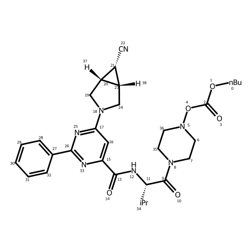 CCCCOC(=O)ON1CCN(C(=O)[C@@H](NC(=O)c2cc(N3C[C@@H]4[C@H](C#N)[C@@H]4C3)nc(-c3ccccc3)n2)C(C)C)CC1